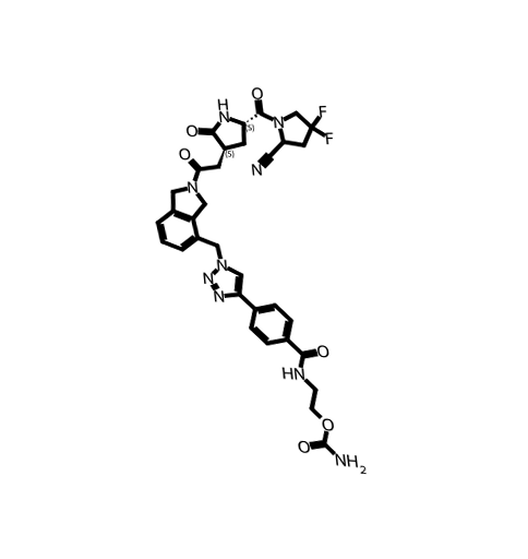 N#CC1CC(F)(F)CN1C(=O)[C@@H]1C[C@@H](CC(=O)N2Cc3cccc(Cn4cc(-c5ccc(C(=O)NCCOC(N)=O)cc5)nn4)c3C2)C(=O)N1